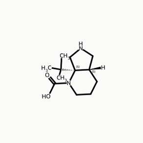 CC(C)(C)[C@]12CNC[C@@H]1CCCN2C(=O)O